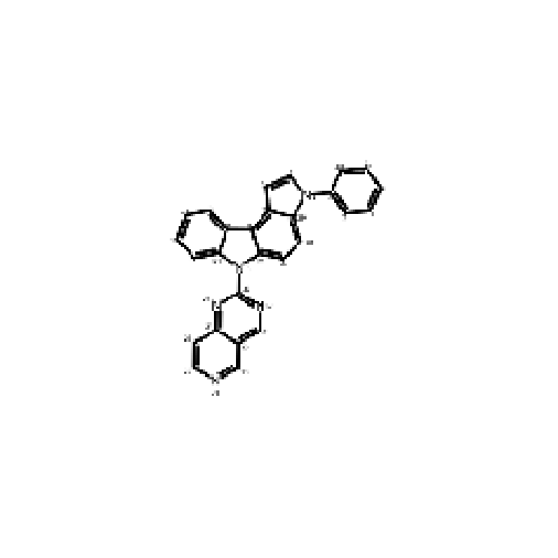 c1ccc(-n2ccc3c4c5ccccc5n(-c5ncc6cnccc6n5)c4ccc32)cc1